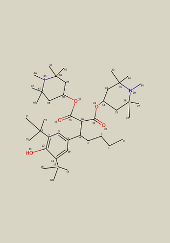 CCCCC(c1cc(C(C)(C)C)c(O)c(C(C)(C)C)c1)C(C(=O)OC1CC(C)(C)N(C)C(C)(C)C1)C(=O)OC1CC(C)(C)I(C)C(C)(C)C1